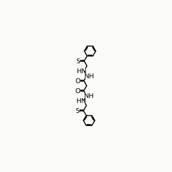 O=C(CC(=O)NNCC(=S)c1ccccc1)NNCC(=S)c1ccccc1